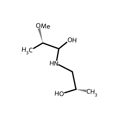 CO[C@@H](C)C(O)NC[C@H](C)O